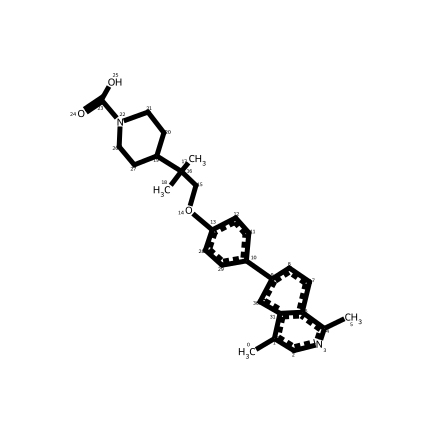 Cc1cnc(C)c2ccc(-c3ccc(OCC(C)(C)C4CCN(C(=O)O)CC4)cc3)cc12